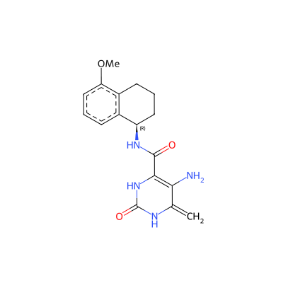 C=C1NC(=O)NC(C(=O)N[C@@H]2CCCc3c(OC)cccc32)=C1N